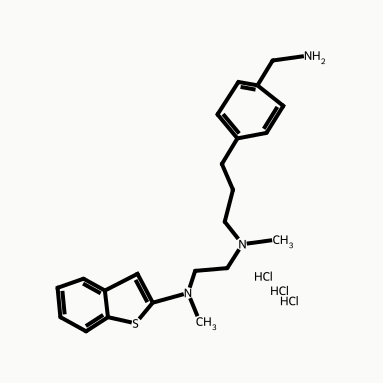 CN(CCCc1ccc(CN)cc1)CCN(C)c1cc2ccccc2s1.Cl.Cl.Cl